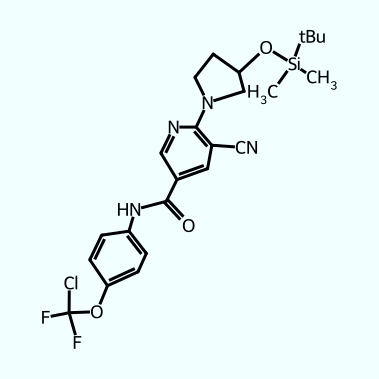 CC(C)(C)[Si](C)(C)OC1CCN(c2ncc(C(=O)Nc3ccc(OC(F)(F)Cl)cc3)cc2C#N)C1